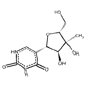 C[C@@]1(O)[C@@H](CO)O[C@@H](c2c[nH]c(=O)[nH]c2=O)[C@@H]1O